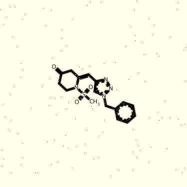 CS(=O)(=O)N1CCC(=O)CC1=Cc1cn(Cc2ccccc2)nn1